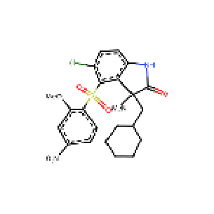 CNC1(CC2CCCCC2)C(=O)Nc2ccc(Cl)c(S(=O)(=O)c3ccc([N+](=O)[O-])cc3OC)c21